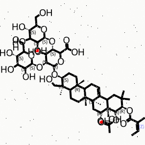 C/C=C(/C)C(=O)O[C@H]1[C@H](OC(C)=O)[C@@]2(CO)C(CC1(C)C)C1=CCC3[C@@]4(C)CC[C@H](O[C@@H]5OC(C(=O)O)[C@@H](O[C@@H]6OC(CO)[C@@H](O)C(O)[C@@H]6O)C(O)[C@@H]5O[C@@H]5OC(CO)[C@@H](O)C(O)[C@@H]5O)[C@](C)(CO)C4CC[C@@]3(C)[C@]1(C)C[C@H]2O